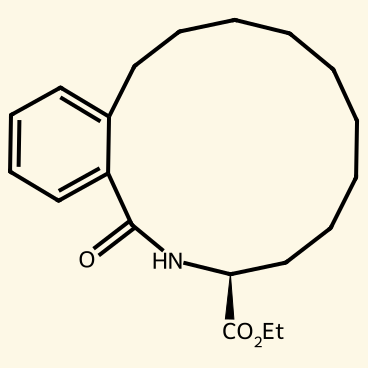 CCOC(=O)[C@@H]1CCCCCCCCCc2ccccc2C(=O)N1